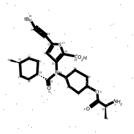 C[C@H](N)C(=O)OC1CCC(N(c2cc(C#CC(C)(C)C)sc2C(=O)O)C(=O)[C@H]2CC[C@H](C)CC2)CC1